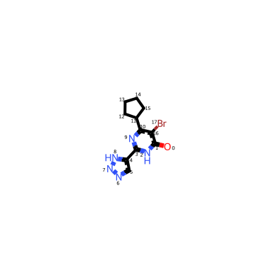 O=c1[nH]c(-c2cnn[nH]2)nc(C2CCCC2)c1Br